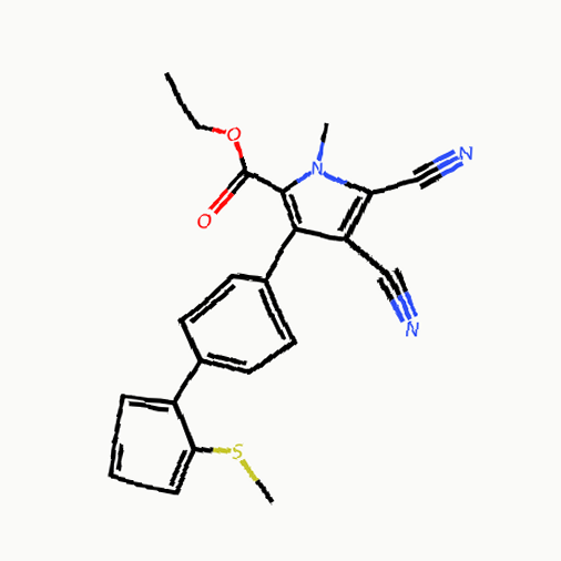 CCOC(=O)c1c(-c2ccc(-c3ccccc3SC)cc2)c(C#N)c(C#N)n1C